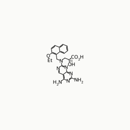 CCOc1ccc2ccccc2c1CN(C[C@H](O)C(=O)O)c1ncc2c(N)nc(N)nc2n1